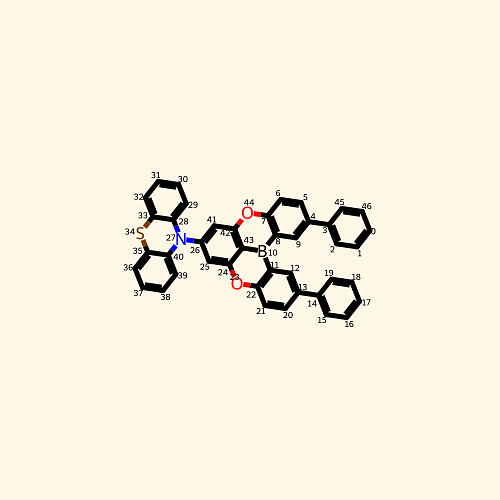 c1ccc(-c2ccc3c(c2)B2c4cc(-c5ccccc5)ccc4Oc4cc(N5c6ccccc6Sc6ccccc65)cc(c42)O3)cc1